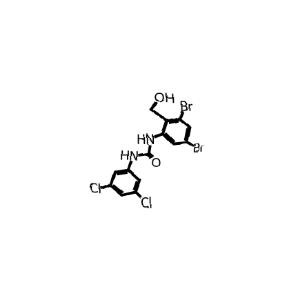 O=C(Nc1cc(Cl)cc(Cl)c1)Nc1cc(Br)cc(Br)c1CO